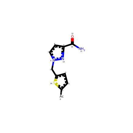 CC(=O)c1ccc(Cn2c[c]c(C(N)=O)n2)s1